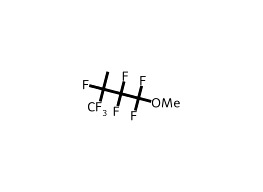 COC(F)(F)C(F)(F)C(C)(F)C(F)(F)F